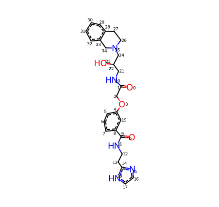 O=C(COc1cccc(C(=O)NCCc2ncc[nH]2)c1)NC[C@@H](O)CN1CCc2ccccc2C1